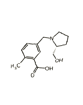 Cc1ccc(CN2CCC[C@@H]2CO)cc1C(=O)O